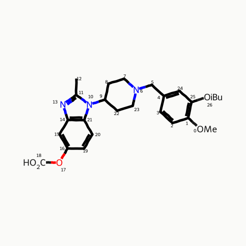 COc1ccc(CN2CCC(n3c(C)nc4cc(OC(=O)O)ccc43)CC2)cc1OCC(C)C